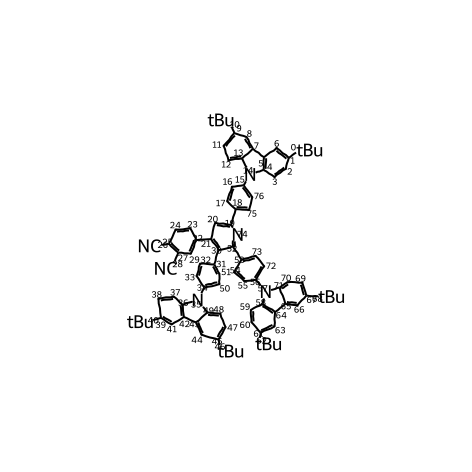 CC(C)(C)c1ccc2c(c1)c1cc(C(C)(C)C)ccc1n2-c1ccc(-c2cc(-c3ccc(C#N)c(C#N)c3)c(-c3ccc(-n4c5ccc(C(C)(C)C)cc5c5cc(C(C)(C)C)ccc54)cc3)c(-c3ccc(-n4c5ccc(C(C)(C)C)cc5c5cc(C(C)(C)C)ccc54)cc3)n2)cc1